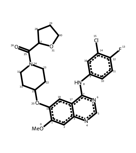 COc1cc2ncnc(Nc3ccc(F)c(Cl)c3)c2cc1OC1CCN(C(=O)C2CCCO2)CC1